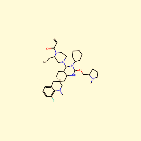 C=CC(=O)N1CCN(C2C3CC[C@]4(Cc5cccc(F)c5N(C)C4)CC3NC(OCC3CCCN3C)N2C2CCCCC2)CC1CC#N